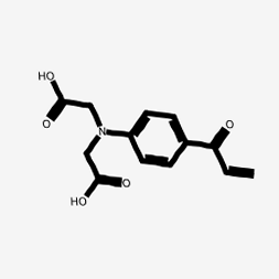 C=CC(=O)c1ccc(N(CC(=O)O)CC(=O)O)cc1